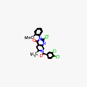 COc1ccccc1-n1c(Cl)nc2c(c1=O)CC(C)N(C(=O)c1ccc(Cl)c(Cl)c1)C2